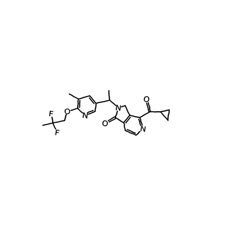 Cc1cc(C(C)N2Cc3c(ccnc3C(=O)C3CC3)C2=O)cnc1OCC(C)(F)F